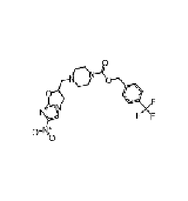 O=C(OCc1ccc(C(F)(F)F)cc1)N1CCN(CC2Cn3cc([N+](=O)[O-])nc3O2)CC1